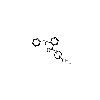 CN1CCN(C(=O)c2ccccc2OCc2ccccc2)CC1